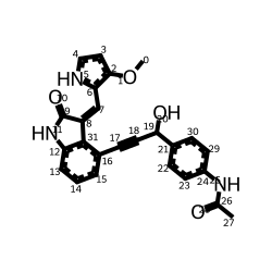 COc1cc[nH]c1C=C1C(=O)Nc2cccc(C#CC(O)c3ccc(NC(C)=O)cc3)c21